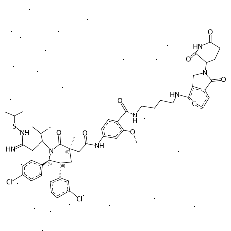 COc1cc(NC(=O)C[C@@]2(C)C[C@H](c3cccc(Cl)c3)[C@@H](c3ccc(Cl)cc3)N(C(CC(=N)NSC(C)C)C(C)C)C2=O)ccc1C(=O)NCCCCNc1cccc2c1CN(C1CCC(=O)NC1=O)C2=O